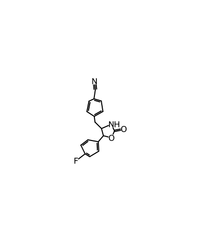 N#Cc1ccc(CC2NC(=O)OC2c2ccc(F)cc2)cc1